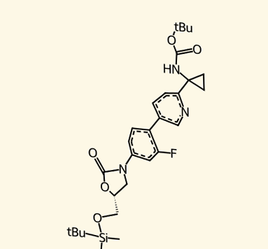 CC(C)(C)OC(=O)NC1(c2ccc(-c3ccc(N4C[C@H](CO[Si](C)(C)C(C)(C)C)OC4=O)cc3F)cn2)CC1